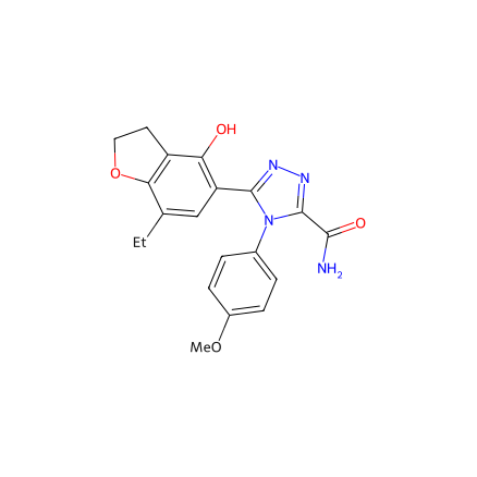 CCc1cc(-c2nnc(C(N)=O)n2-c2ccc(OC)cc2)c(O)c2c1OCC2